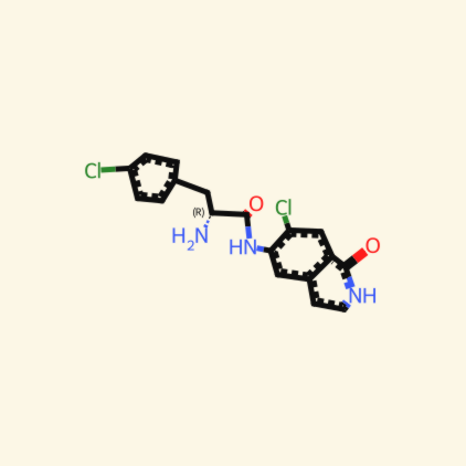 N[C@H](Cc1ccc(Cl)cc1)C(=O)Nc1cc2cc[nH]c(=O)c2cc1Cl